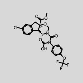 COC(=O)[C@]12Cc3cc(Cl)ccc3C1=NN(C(=O)N(C(=O)O)c1ccc(OC(F)(F)F)cc1)CO2